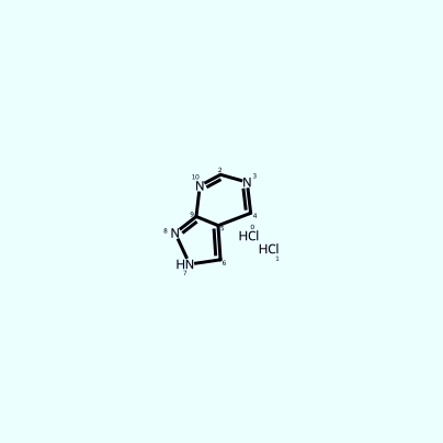 Cl.Cl.c1ncc2c[nH]nc2n1